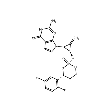 C=C1C(n2cnc3c(=O)[nH]c(N)nc32)[C@@H]1O[P@]1(=O)OCC[C@H](c2cc(Cl)ccc2F)O1